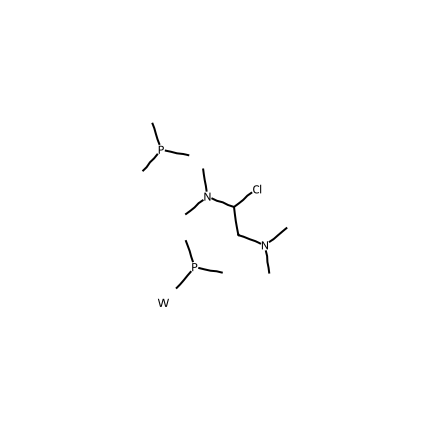 CN(C)CC(Cl)N(C)C.CP(C)C.CP(C)C.[W]